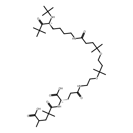 CC(CC(C)(C)C(=O)N[C@@H](CCC(=O)NCCOC(C)(C)CCOC(C)(C)CCC(=O)NCCCC[C@H](NC(C)(C)C)C(=O)C(C)(C)C)C(=O)O)C(=O)O